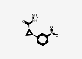 NNC(=O)[C@@H]1C[C@@H]1c1cccc([N+](=O)[O-])c1